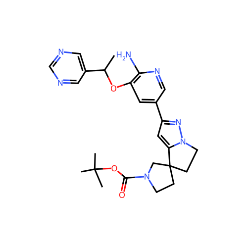 CC(Oc1cc(-c2cc3n(n2)CCC32CCN(C(=O)OC(C)(C)C)C2)cnc1N)c1cncnc1